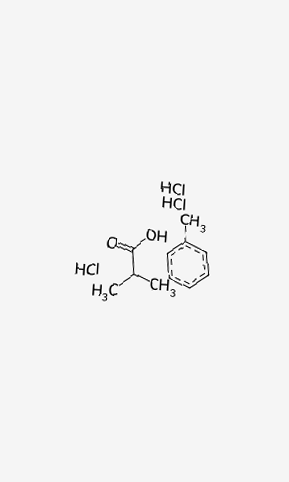 CC(C)C(=O)O.Cc1ccccc1.Cl.Cl.Cl